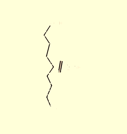 C=C.N.N.O=C(O)CCCCCCCC(=O)O